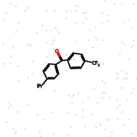 CC(C)c1ccc(C(=O)c2ccc(C(F)(F)F)cc2)cc1